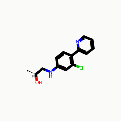 C[C@@H](O)CNc1ccc(-c2ccccn2)c(Cl)c1